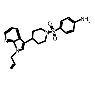 C=CCn1cc(C2CCN(S(=O)(=O)c3ccc(N)cc3)CC2)c2cccnc21